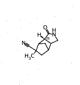 CC1(C#N)CC2CC1[C@@H]1C(=O)NCC21